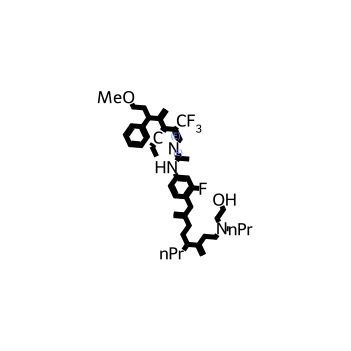 C=C(CCC(CCC)C(=C)CCN(CCC)CCO)Cc1ccc(N/C(C)=N/C=C(\C(=C=CC)C(=C)C(CCOC)c2ccccc2)C(F)(F)F)cc1F